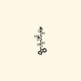 CC(C)(C)OC(=O)NCCN(CCNC(=O)OCC1c2ccccc2-c2ccccc21)C(=O)O